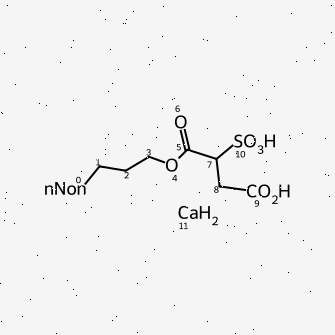 CCCCCCCCCCCCOC(=O)C(CC(=O)O)S(=O)(=O)O.[CaH2]